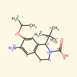 CC(C)Oc1cc2c(cc1N)CCN(C(=O)O)C2C(C)(C)C